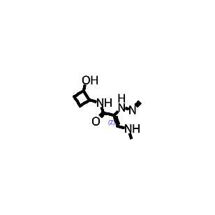 C=NN/C(=C\NC)C(=O)NC1CCC1O